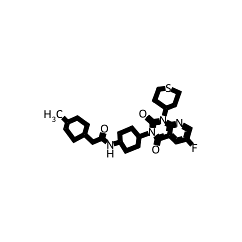 CC1CCC(CC(=O)NC2CCC(n3c(=O)c4cc(F)cnc4n(C4CCSCC4)c3=O)CC2)CC1